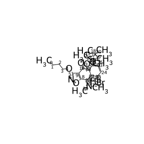 CCCCOc1noc2c1C(=O)[C@@]1(O[Si](C)(C)C(C)(C)C)C(=O)C=C[C@@H](Br)[C@H]1[C@@H]2N(C)C